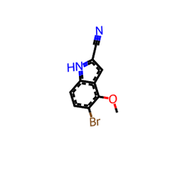 COc1c(Br)ccc2[nH]c(C#N)cc12